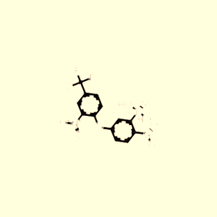 O=[N+]([O-])c1cc(C(F)(F)F)ccc1Oc1ccc([N+](=O)[O-])c(P(=O)(O)O)c1